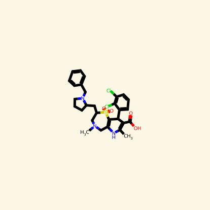 CC1=C(C(=O)O)C(c2cccc(Cl)c2Cl)C2=C(CN(C)CC(CC3CCCN3Cc3ccccc3)S2(=O)=O)N1